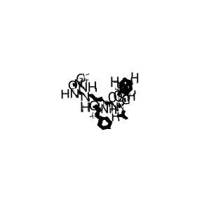 CC(C)C[C@H](NC(=O)[C@H](CCCNC(=N)N[N+](=O)[O-])NC(=O)[C@@H](C)c1ccccc1)B1O[C@@H]2C[C@@H]3C[C@@H](C3(C)C)[C@]2(C)O1